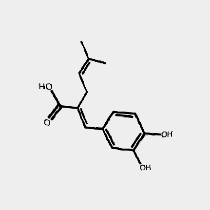 CC(C)=CC/C(=C\c1ccc(O)c(O)c1)C(=O)O